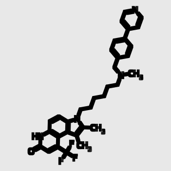 Cc1c(C)n(CCCCCCN(C)Cc2ccc(-c3ccncc3)cc2)c2ccc3[nH]c(=O)cc(C(F)(F)F)c3c12